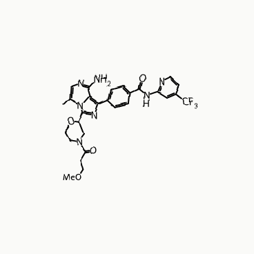 COCCC(=O)N1CCO[C@@H](c2nc(-c3ccc(C(=O)Nc4cc(C(F)(F)F)ccn4)cc3)c3c(N)ncc(C)n23)C1